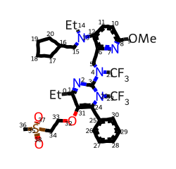 CCC1=NC(N(Cc2nc(OC)ccc2N(CC)CC2CCCC2)C(F)(F)F)N(C(F)(F)F)C(c2ccccc2)=C1OCCS(C)(=O)=O